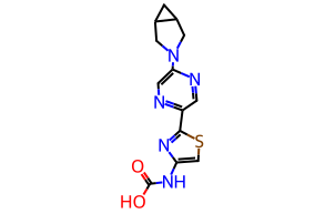 O=C(O)Nc1csc(-c2cnc(N3CC4CC4C3)cn2)n1